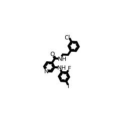 O=C(NCCc1cccc(Cl)c1)c1ccncc1Nc1ccc(I)cc1F